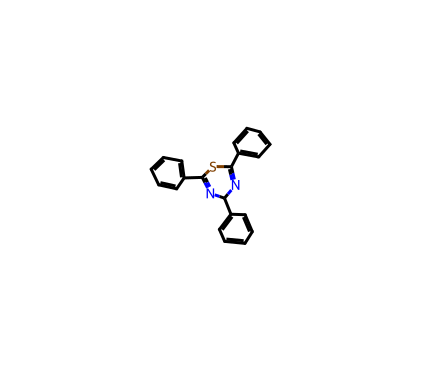 c1ccc(C2=NC(c3ccccc3)N=C(c3ccccc3)S2)cc1